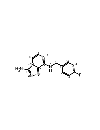 Nc1nnc2c(NCc3ccc(F)cc3)nccn12